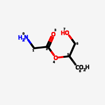 NCC(=O)OC(CO)C(=O)O